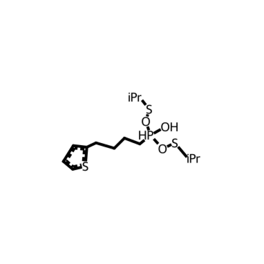 CC(C)SO[PH](O)(CCCCc1cccs1)OSC(C)C